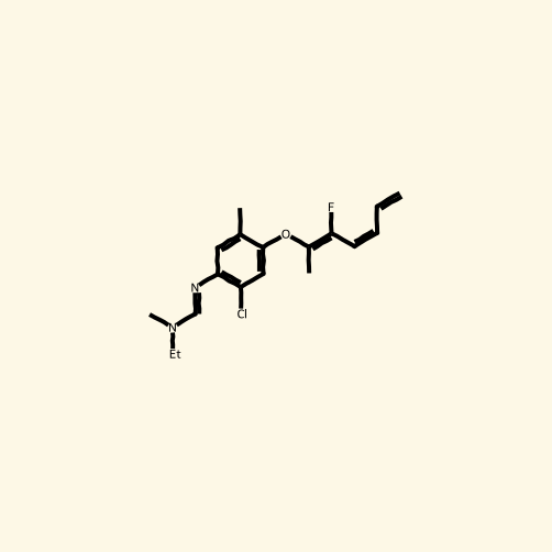 C=C/C=C\C(F)=C(/C)Oc1cc(Cl)c(/N=C/N(C)CC)cc1C